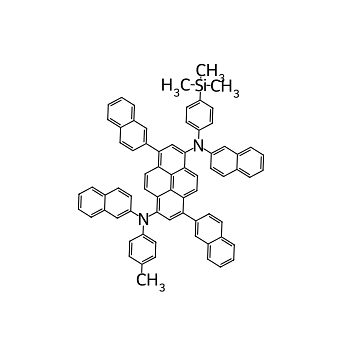 Cc1ccc(N(c2ccc3ccccc3c2)c2cc(-c3ccc4ccccc4c3)c3ccc4c(N(c5ccc([Si](C)(C)C)cc5)c5ccc6ccccc6c5)cc(-c5ccc6ccccc6c5)c5ccc2c3c54)cc1